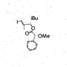 CC[C@@H](C)[C@@H](OC(=O)[C@H](OC)c1ccccc1)/C(C)=C/I